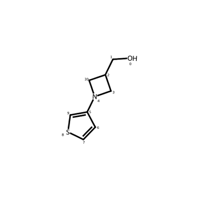 OCC1CN(c2ccsc2)C1